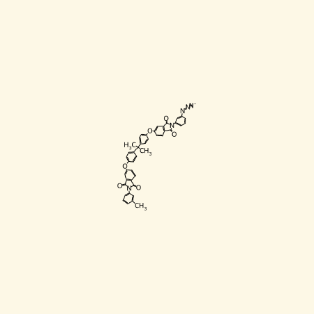 Cc1cccc(N2C(=O)c3ccc(Oc4ccc(C(C)(C)c5ccc(Oc6ccc7c(c6)C(=O)N(c6cccc(N=[N+]=[N-])c6)C7=O)cc5)cc4)cc3C2=O)c1